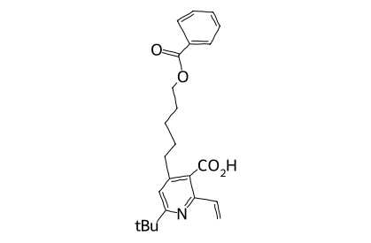 C=Cc1nc(C(C)(C)C)cc(CCCCCOC(=O)c2ccccc2)c1C(=O)O